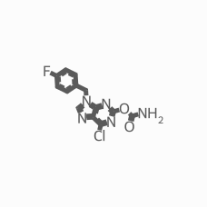 NC(=O)Oc1nc(Cl)c2ncn(Cc3ccc(F)cc3)c2n1